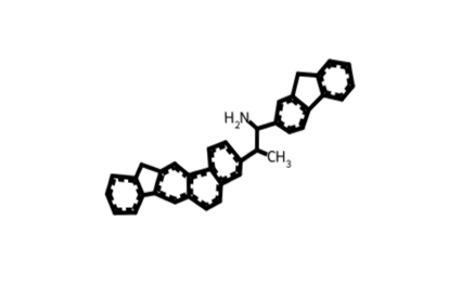 CC(c1ccc2c(ccc3cc4c(cc32)Cc2ccccc2-4)c1)C(N)c1ccc2c(c1)Cc1ccccc1-2